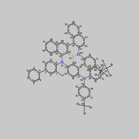 Cc1cc(-c2ccccc2)ccc1N1c2ccc(N(c3ccc(C(C)(C)C)cc3)c3ccc(C(C)(C)C)cc3)cc2B2c3c(cc4ccccc4c31)-c1c(ccc3ccccc13)N2c1ccc(C(C)(C)C)cc1